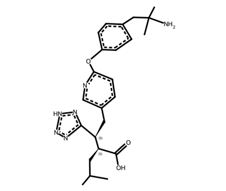 CC(C)C[C@H](C(=O)O)[C@H](Cc1ccc(Oc2ccc(CC(C)(C)N)cc2)nc1)c1nn[nH]n1